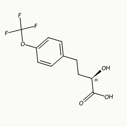 O=C(O)[C@H](O)CCc1ccc(OC(F)(F)F)cc1